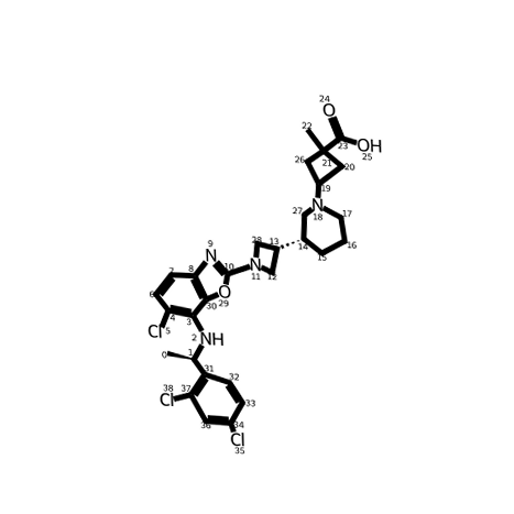 C[C@@H](Nc1c(Cl)ccc2nc(N3CC([C@H]4CCCN(C5CC(C)(C(=O)O)C5)C4)C3)oc12)c1ccc(Cl)cc1Cl